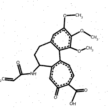 C=CC(=O)NC1CCc2cc(OC)c(OC)c(OC)c2-c2ccc(C(=O)O)c(=O)cc21